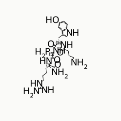 N=C(N)NCCCC[C@H](NC(=O)[C@H](P)NC(=O)[C@H](Cc1c[nH]c2ccc(O)cc12)NC(=O)CCCN)C(N)=O